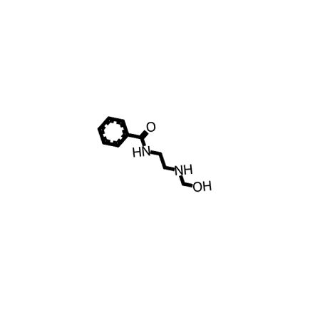 O=C(NCCNCO)c1ccccc1